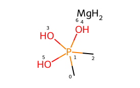 CP(C)(O)(O)O.[MgH2]